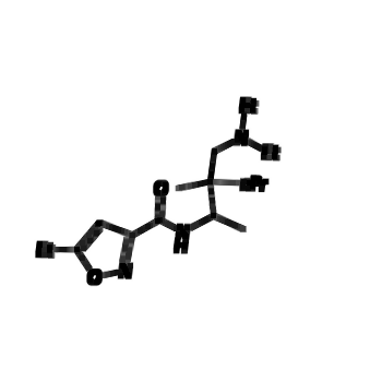 CCCC(C)(CN(CC)CC)C(C)NC(=O)c1cc(CC)on1